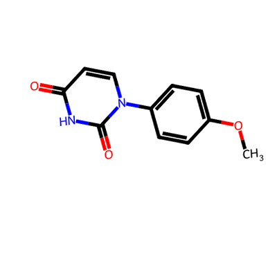 COc1ccc(-n2ccc(=O)[nH]c2=O)cc1